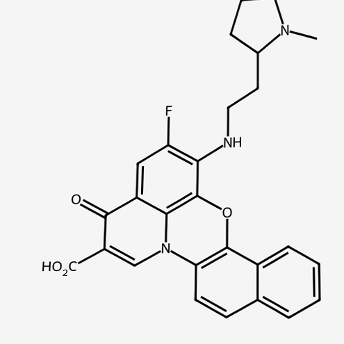 CN1CCCC1CCNc1c(F)cc2c(=O)c(C(=O)O)cn3c2c1Oc1c-3ccc2ccccc12